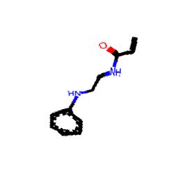 C=CC(=O)NCCNc1ccccc1